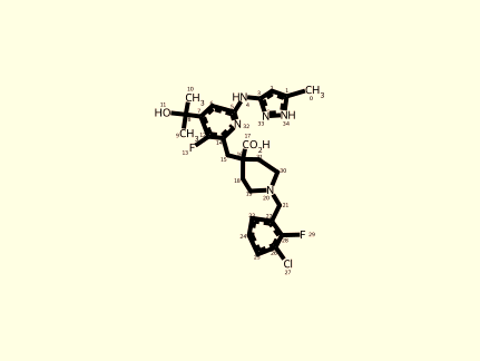 Cc1cc(Nc2cc(C(C)(C)O)c(F)c(CC3(C(=O)O)CCN(Cc4cccc(Cl)c4F)CC3)n2)n[nH]1